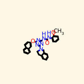 COc1ccccc1NC(=O)Nc1nc(Oc2ccc3ccccc3c2)nc(N2CCc3ccccc3C2)n1